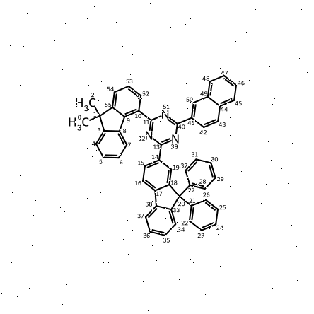 CC1(C)c2ccccc2-c2c(-c3nc(-c4ccc5c(c4)C(c4ccccc4)(c4ccccc4)c4ccccc4-5)nc(-c4ccc5ccccc5c4)n3)cccc21